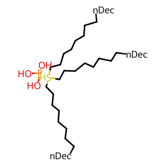 CCCCCCCCCCCCCCCCCC[SH](CCCCCCCCCCCCCCCCCC)(CCCCCCCCCCCCCCCCCC)=P(O)(O)O